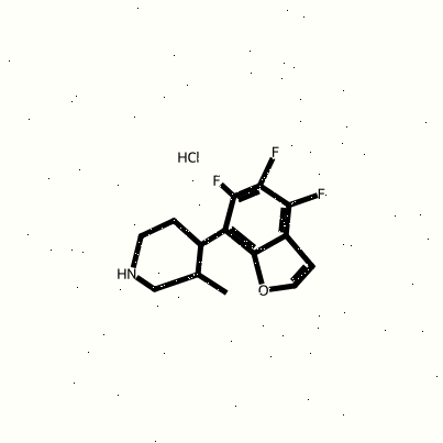 CC1CNCCC1c1c(F)c(F)c(F)c2ccoc12.Cl